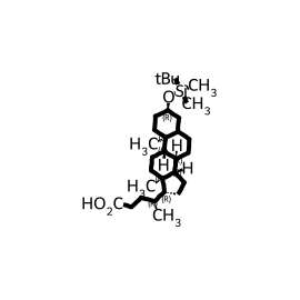 C[C@H](CCC(=O)O)[C@H]1CC[C@H]2[C@@H]3CCC4C[C@H](O[Si](C)(C)C(C)(C)C)CC[C@]4(C)[C@H]3CC[C@]12C